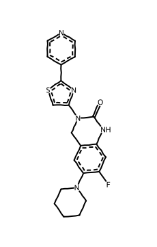 O=C1Nc2cc(F)c(N3CCCCC3)cc2CN1c1csc(-c2ccncc2)n1